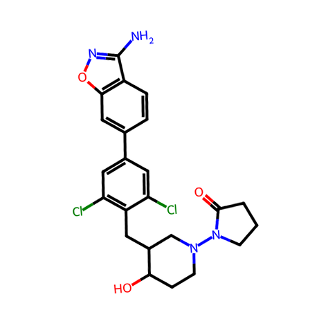 Nc1noc2cc(-c3cc(Cl)c(CC4CN(N5CCCC5=O)CCC4O)c(Cl)c3)ccc12